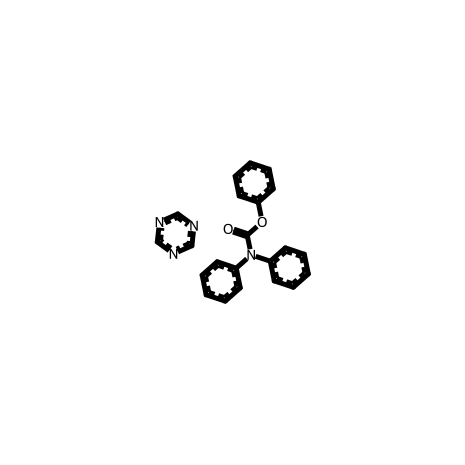 O=C(Oc1ccccc1)N(c1ccccc1)c1ccccc1.c1ncncn1